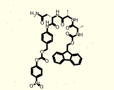 C[C@H](NC(=O)OCC1c2ccccc2-c2ccccc21)C(=O)N[C@@H](C)C(=O)N[C@@H](CC(N)=O)C(=O)Nc1ccc(COC(=O)Oc2ccc([N+](=O)[O-])cc2)cc1